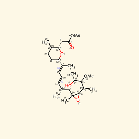 COC(=O)C[C@@H]1O[C@H](/C(C)=C/C=C/[C@@H](C)C[C@@]2(C)O[C@@H]2[C@H](C)C(OC)[C@@H](C)O)CC[C@H]1C